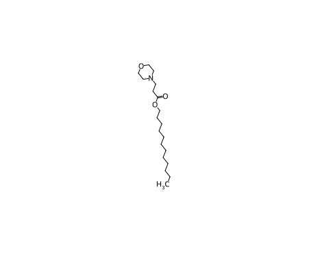 CCCCCCCCCCCCOC(=O)CCN1CCOCC1